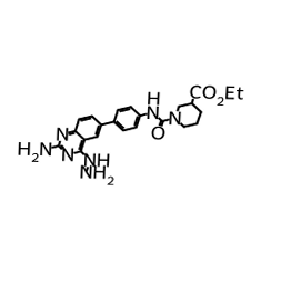 CCOC(=O)C1CCCN(C(=O)Nc2ccc(-c3ccc4nc(N)nc(NN)c4c3)cc2)C1